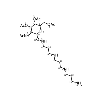 CC(=O)NC1C(OC(C)=O)[C@@H](OC(C)=O)C(COC(C)=O)O[C@H]1ONCCCNCCCNCCCN